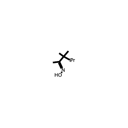 CC(=NO)C(C)(C)C(C)C